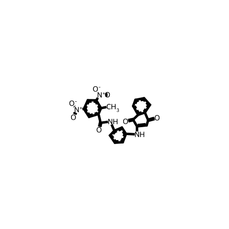 Cc1c(C(=O)Nc2cccc(NC3=CC(=O)c4ccccc4C3=O)c2)cc([N+](=O)[O-])cc1[N+](=O)[O-]